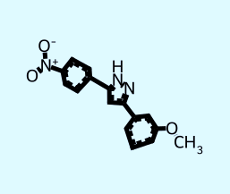 COc1cccc(-c2cc(-c3ccc([N+](=O)[O-])cc3)[nH]n2)c1